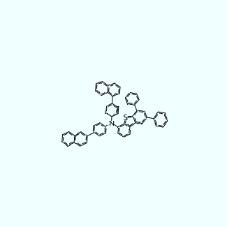 c1ccc(-c2cc(-c3ccccc3)c3sc4c(N(c5ccc(-c6ccc7ccccc7c6)cc5)c5ccc(-c6cccc7ccccc67)cc5)cccc4c3c2)cc1